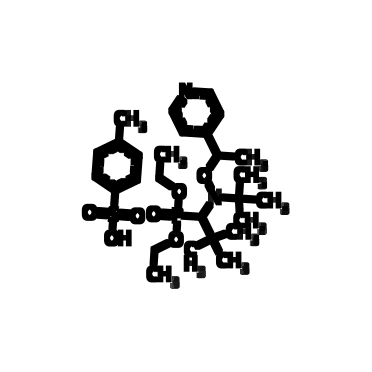 CCOP(=O)(OCC)C(N(OC(C)c1ccncc1)C(C)(C)C)C(C)(C)C.Cc1ccc(S(=O)(=O)O)cc1